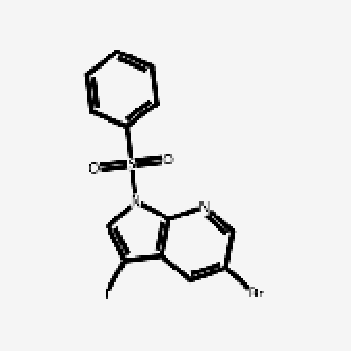 O=S(=O)(c1ccccc1)n1cc(I)c2cc(Br)cnc21